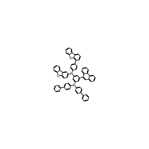 c1ccc(-c2ccc(N(c3ccc(-c4ccccc4)cc3)c3cc(-c4cc5ccccc5c5ccccc45)cc(N(c4ccc(-c5cccc6c5sc5ccccc56)cc4)c4ccc5oc6ccccc6c5c4)c3)cc2)cc1